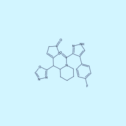 O=C1CC=C(C(c2nnco2)C2CCCCN2C(=O)c2n[nH]cc2-c2ccc(F)cc2)O1